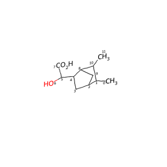 CC1C2CC(C(O)C(=O)O)C(C2)C1C